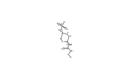 CCOC(=O)N[C@H]1CC[C@@H](OS(C)(=O)=O)CC1